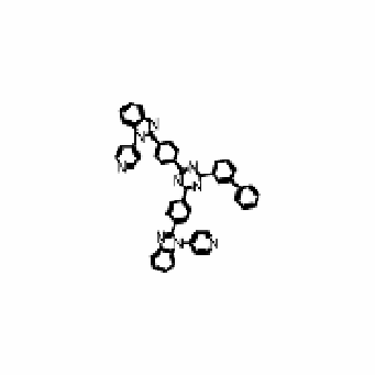 c1ccc(-c2cccc(-c3nc(-c4ccc(-c5nc6ccccc6n5-c5ccncc5)cc4)nc(-c4ccc(-c5nc6ccccc6n5-c5ccncc5)cc4)n3)c2)cc1